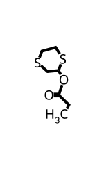 CCC(=O)OC1CSCCS1